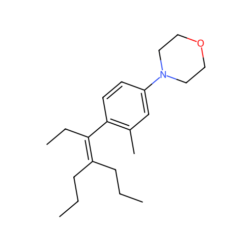 CCCC(CCC)=C(CC)c1ccc(N2CCOCC2)cc1C